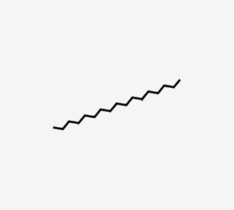 CCCCC[CH]CCCCCCCCCCC